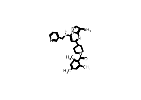 Bc1cnn2c(NCc3cccnc3)cc(C3CCN(C(=O)c4c(C)cc(C)cc4C)CC3)nc12